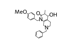 COc1ccc(CN2C(=O)C(C)C(O)C3=C2CN(Cc2ccccc2)CC3)cc1